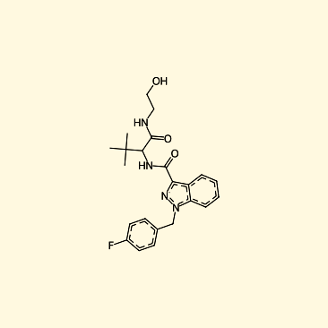 CC(C)(C)C(NC(=O)c1nn(Cc2ccc(F)cc2)c2ccccc12)C(=O)NCCO